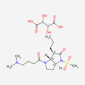 CCC[C@H]1C(=O)N(S(C)(=O)=O)[C@H]2CCN(C(=O)CCCN(C)C)[C@H]12.O=C(O)C(O)C(O)C(=O)O